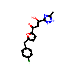 Cc1nc(C(O)=CC(=O)c2ccc(Cc3ccc(F)cc3)o2)n[nH]1